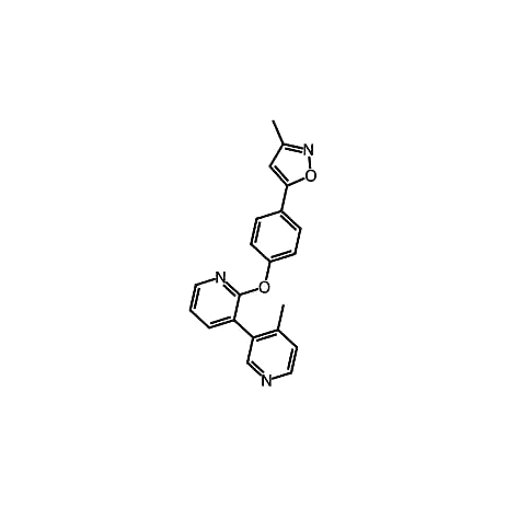 Cc1cc(-c2ccc(Oc3ncccc3-c3cnccc3C)cc2)on1